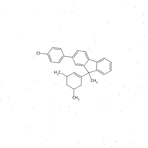 CC1C=C(C2(C)c3ccccc3-c3ccc(-c4ccc(Cl)cc4)cc32)CC(C)C1